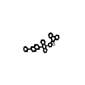 c1ccc(-c2ccc3cc(-c4c5ccccc5c(-c5ccc6sc7c8ccccc8c8ccccc8c7c6c5)c5ccccc45)ccc3c2)cc1